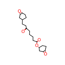 O=C(CCCCC(=O)OC1CCC2OC2C1)CCC1CCC2OC2C1